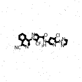 N#Cc1ncc(-n2ncc(C(=O)Nc3cnc(-n4nccn4)c(Cl)c3)c2C(F)(F)F)c2ccccc12